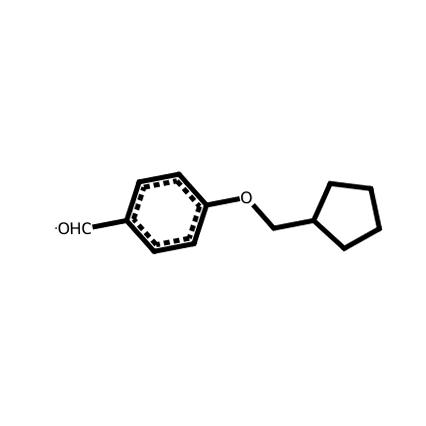 O=[C]c1ccc(OCC2CCCC2)cc1